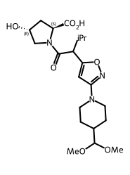 COC(OC)C1CCN(c2cc(C(C(=O)N3C[C@H](O)C[C@H]3C(=O)O)C(C)C)on2)CC1